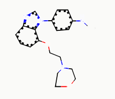 O=CNc1ccc(-n2cnc3cccc(OCCN4CCOCC4)c32)cc1